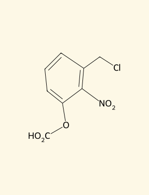 O=C(O)Oc1cccc(CCl)c1[N+](=O)[O-]